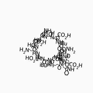 CCC(C)CCCCCCC(=O)NC(Cc1c[nH]c2ccccc12)C(=O)NC(CCC(=O)O)C(=O)NC(CC(N)=O)C(=O)NC1C(=O)N(C)CC(=O)NC(C)C(=O)NC(CC(=O)O)C(=O)NC(CCCCN)C(=O)NC(C(O)C(=O)O)C(=O)NCC(=O)NC(CC(N)=O)C(=O)NC(CCC(=O)O)C(=O)NC(C(C)CC)C(=O)OC1C